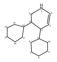 [C]1NC=CC(C2CCCCC2)C1C1CCCCC1